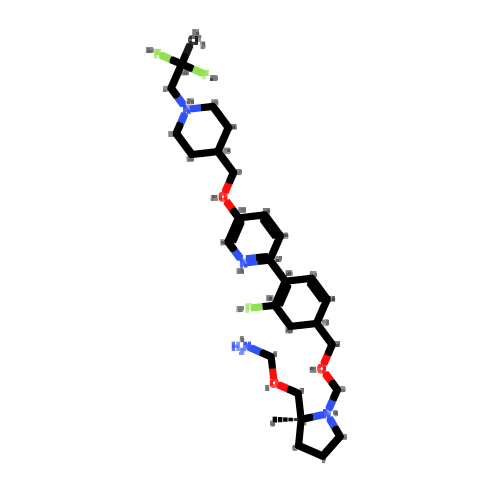 C[C@@]1(COCN)CCCN1COCC1C=CC(c2ccc(OCC3CCN(CC(F)(F)C(F)(F)F)CC3)cn2)=C(F)C1